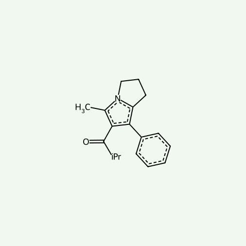 Cc1c(C(=O)C(C)C)c(-c2ccccc2)c2n1CCC2